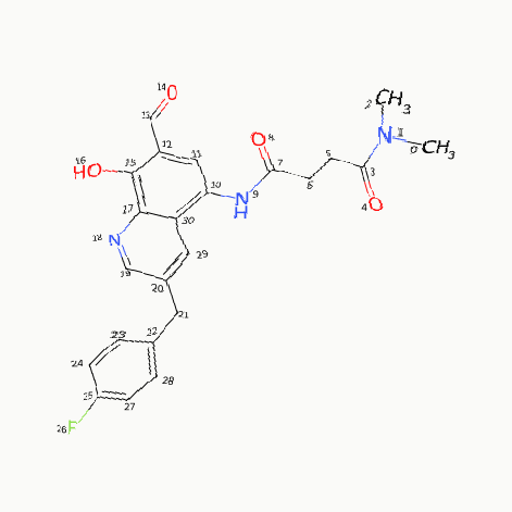 CN(C)C(=O)CCC(=O)Nc1cc(C=O)c(O)c2ncc(Cc3ccc(F)cc3)cc12